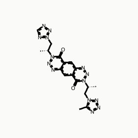 Cc1nnnn1C[C@@H](C)n1nnc2cc3c(=O)n([C@H](C)Cn4ncnn4)nnc3cc2c1=O